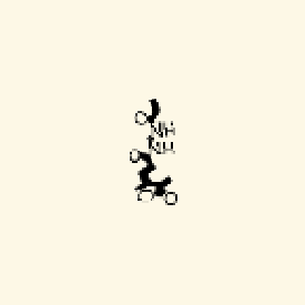 C=CC(=O)NCNC(=O)C=CC1COC(=O)C1=C